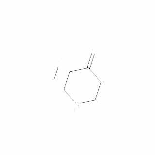 CS(=O)(=O)O.O=C1CCNCC1